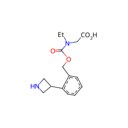 CCN(CC(=O)O)C(=O)OCc1ccccc1C1CNC1